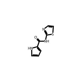 O=C(Nc1nccs1)c1ccc[nH]1